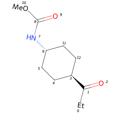 CCC(=O)[C@H]1CC[C@H](NC(=O)OC)CC1